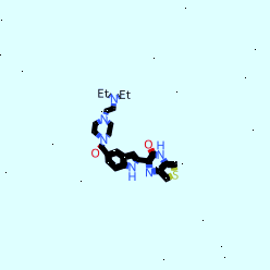 CCN(CC)CCN1CCN(C(=O)c2ccc3[nH]c(-c4nc5cscc5[nH]c4=O)cc3c2)CC1